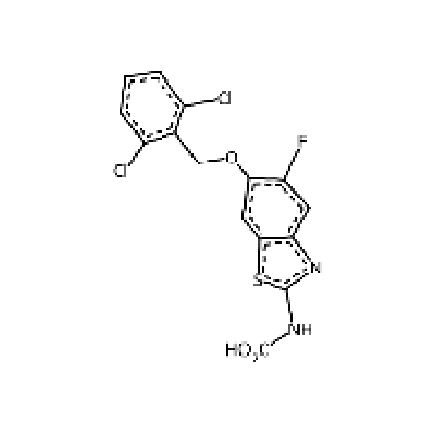 O=C(O)Nc1nc2cc(F)c(OCc3c(Cl)cccc3Cl)cc2s1